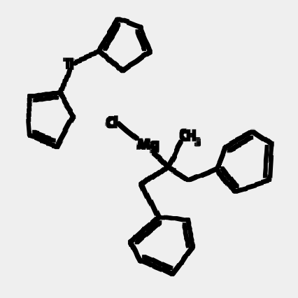 C1=CC[C]([Ti][C]2=CC=CC2)=C1.C[C](Cc1ccccc1)(Cc1ccccc1)[Mg][Cl]